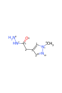 Cn1cc(CC(=O)NN)cn1